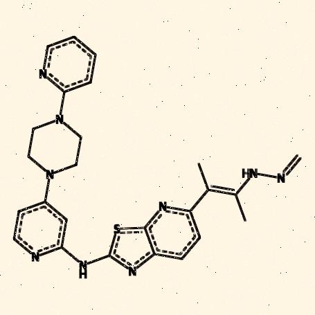 C=NN/C(C)=C(\C)c1ccc2nc(Nc3cc(N4CCN(c5ccccn5)CC4)ccn3)sc2n1